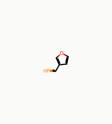 P=Cc1ccoc1